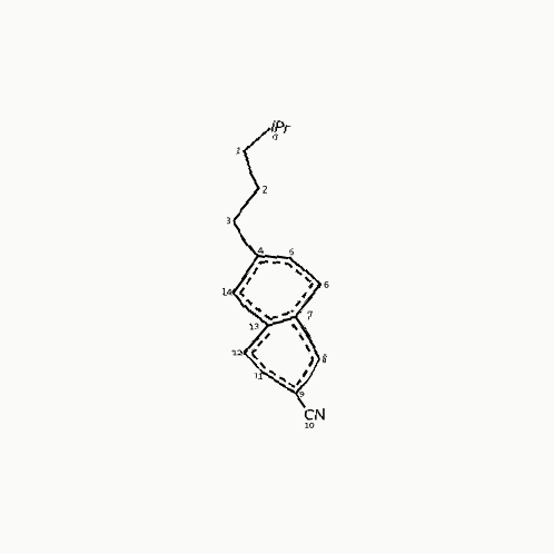 CC(C)CCCc1ccc2cc(C#N)ccc2c1